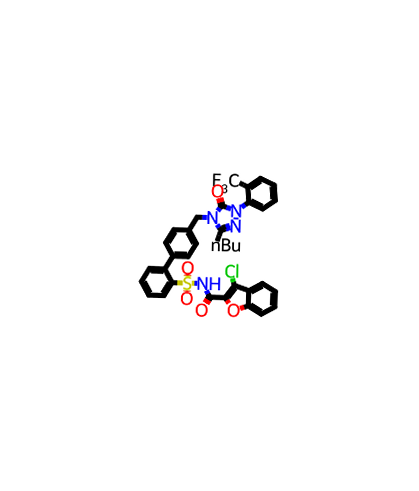 CCCCc1nn(-c2ccccc2C(F)(F)F)c(=O)n1Cc1ccc(-c2ccccc2S(=O)(=O)NC(=O)c2oc3ccccc3c2Cl)cc1